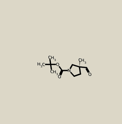 CC(C)(C)OC(=O)N1CC[C@](C)(C=O)C1